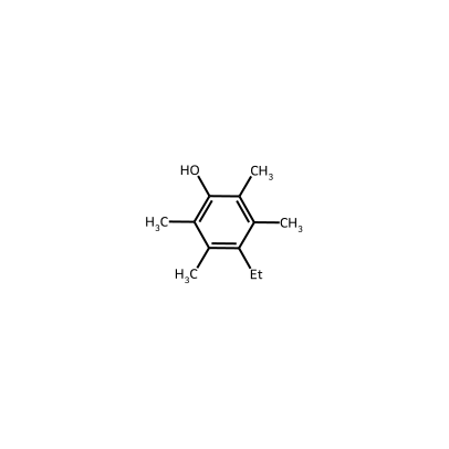 CCc1c(C)c(C)c(O)c(C)c1C